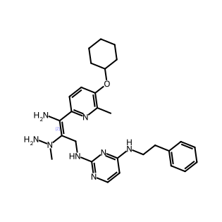 Cc1nc(/C(N)=C(\CNc2nccc(NCCc3ccccc3)n2)N(C)N)ccc1OC1CCCCC1